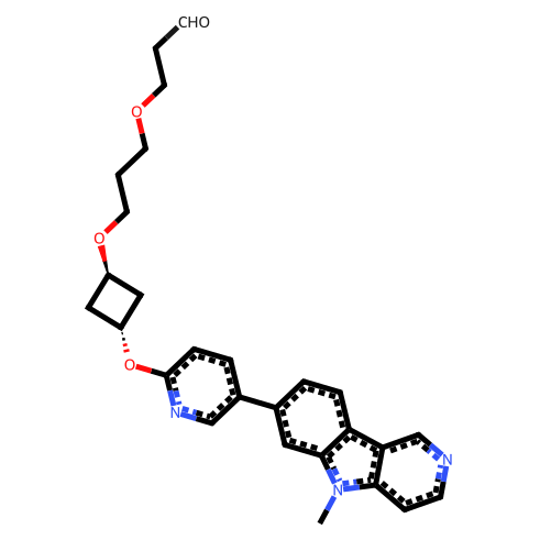 Cn1c2ccncc2c2ccc(-c3ccc(O[C@H]4C[C@H](OCCCOCCC=O)C4)nc3)cc21